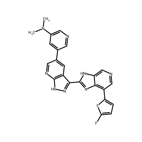 CN(C)c1cncc(-c2cnc3[nH]nc(-c4nc5c(-c6ccc(F)s6)cncc5[nH]4)c3c2)c1